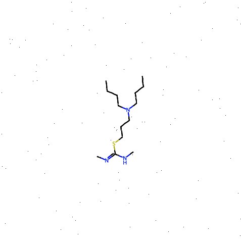 CCCCN(CCCC)CCCS/C(=N\C)NC